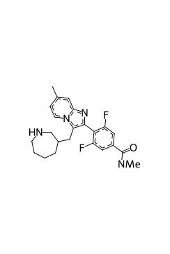 CNC(=O)c1cc(F)c(-c2nc3cc(C)ccn3c2CC2CCCCNC2)c(F)c1